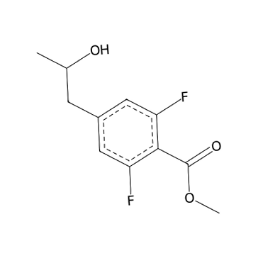 COC(=O)c1c(F)cc(CC(C)O)cc1F